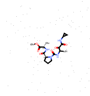 CCCC(NC(=O)N1CCC[C@H]1C(=O)N[C@H](C(=O)OC(C)(C)C)C(C)(C)C)C(=O)C(=O)NC1CC1